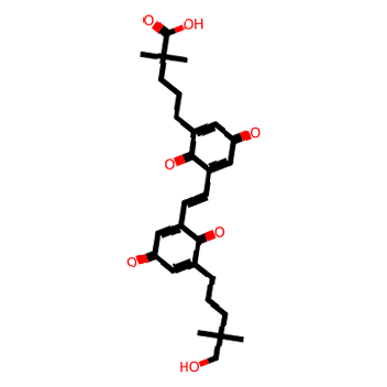 CC(C)(CO)CCCC1=CC(=O)C=C(C=CC2=CC(=O)C=C(CCCC(C)(C)C(=O)O)C2=O)C1=O